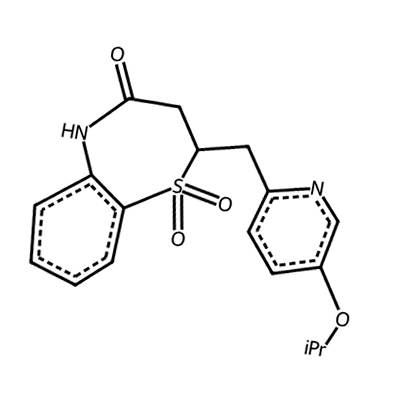 CC(C)Oc1ccc(CC2CC(=O)Nc3ccccc3S2(=O)=O)nc1